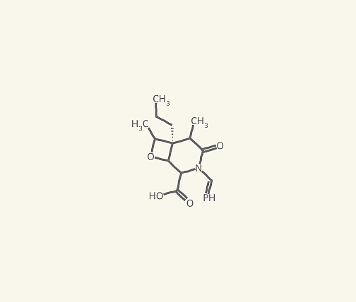 CCC[C@@]12C(C)OC1C(C(=O)O)N(C=P)C(=O)C2C